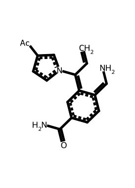 C=C/C(=c1/cc(C(N)=O)cc/c1=C/N)n1ccc(C(C)=O)c1